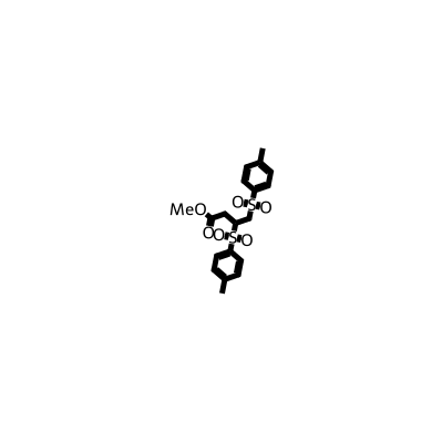 COC(=O)CC(CS(=O)(=O)c1ccc(C)cc1)S(=O)(=O)c1ccc(C)cc1